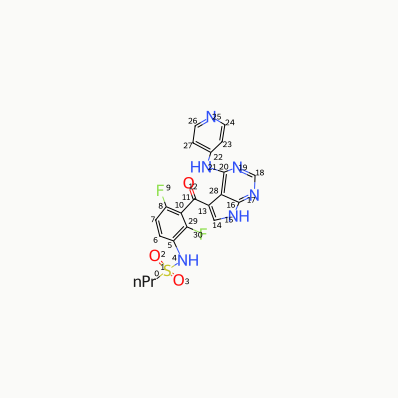 CCCS(=O)(=O)Nc1ccc(F)c(C(=O)c2c[nH]c3ncnc(Nc4ccncc4)c23)c1F